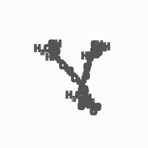 Cc1cc(N(CCOCCOCCCNC(=O)CC(C)C(=O)O)CCOCCOCCOCCCNC(=O)CC(C)C(=O)O)ccc1/N=N/c1sc([N+](=O)[O-])cc1[N+](=O)[O-]